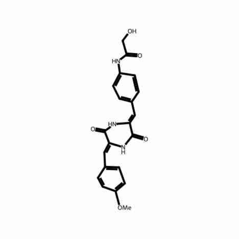 COc1ccc(/C=c2\[nH]c(=O)/c(=C/c3ccc(NC(=O)CO)cc3)[nH]c2=O)cc1